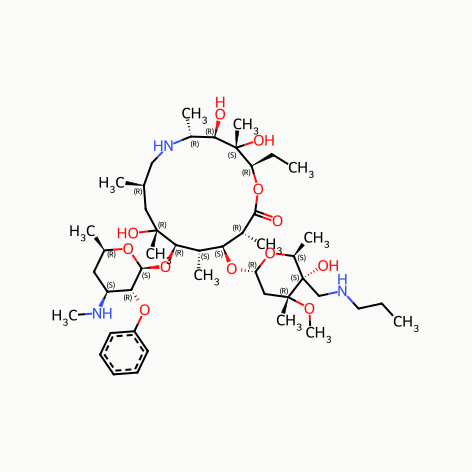 CCCNC[C@]1(O)[C@H](C)O[C@@H](O[C@H]2[C@H](C)[C@@H](O[C@@H]3O[C@H](C)C[C@H](NC)[C@H]3Oc3ccccc3)[C@](C)(O)C[C@@H](C)CN[C@H](C)[C@@H](O)[C@](C)(O)[C@@H](CC)OC(=O)[C@@H]2C)C[C@@]1(C)OC